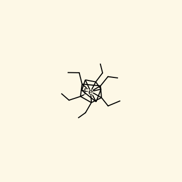 CC[C]12[CH]3[CH]4[CH]5[CH]1[Fe]45321678[C]2(CC)[C]1(CC)[C]6(CC)[C]7(CC)[C]28CC